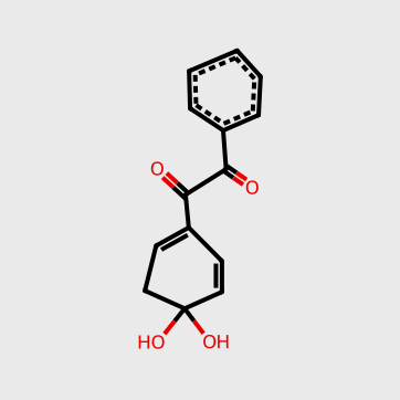 O=C(C(=O)c1ccccc1)C1=CCC(O)(O)C=C1